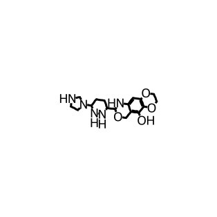 Oc1c2c(cc3c1OCCO3)NC(C1CCC(N3CCNC3)NN1)OC2